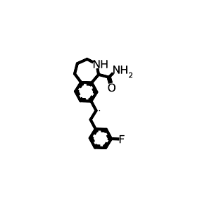 NC(=O)C1NCCCc2ccc([CH]Cc3cccc(F)c3)cc21